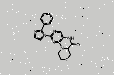 O=C1Nc2cnc(-n3ccnc3-c3ccccc3)nc2N2CCOCC12